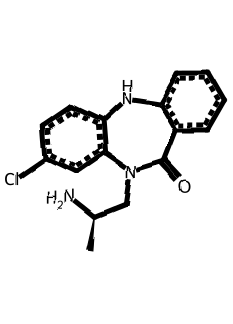 C[C@@H](N)CN1C(=O)c2ccccc2Nc2ccc(Cl)cc21